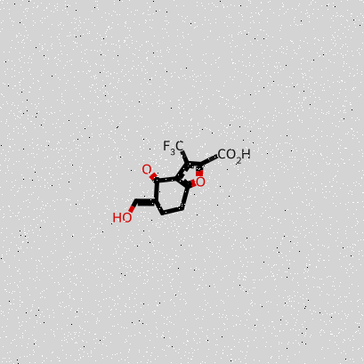 O=C(O)c1oc2c(c1C(F)(F)F)C(=O)C(=CO)CC2